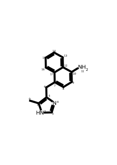 Cc1[nH]cnc1Cc1ccc(N)c2ccccc12